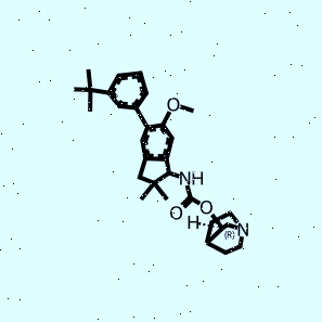 COc1cc2c(cc1-c1cccc(C(C)(C)C)c1)CC(C)(C)C2NC(=O)O[C@H]1CN2CCC1CC2